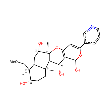 COC[C@@]1(C)C2C[C@H](O)[C@@]3(C)OC4=C(C(O)OC(c5cccnc5)=C4)[C@H](O)C3[C@@]2(C)CC[C@@H]1O